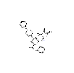 CN(Cc1ccccc1)c1cc(/C=C2/SC(=O)NC2=O)nc(N2CCN(c3ccccc3)CC2)n1